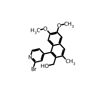 COc1cc2cc(C)c(CO)c(-c3ccnc(Br)c3)c2cc1OC